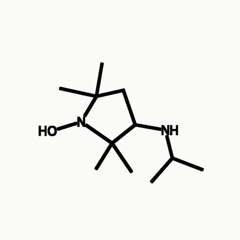 CC(C)NC1CC(C)(C)N(O)C1(C)C